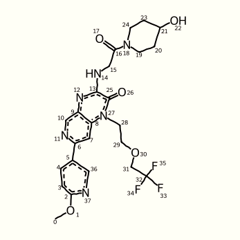 COc1ccc(-c2cc3c(cn2)nc(NCC(=O)N2CCC(O)CC2)c(=O)n3CCOCC(F)(F)F)cn1